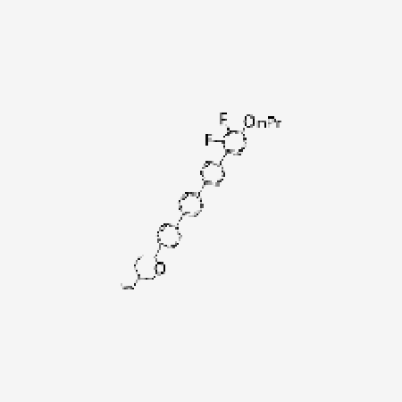 C=CC1CCC(c2ccc(-c3ccc(-c4ccc(-c5ccc(OCCC)c(F)c5F)cc4)cc3)cc2)OC1